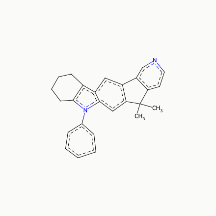 CC1(C)c2ccncc2-c2cc3c4c(n(-c5ccccc5)c3cc21)CCCC4